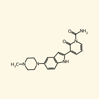 CN1CCN(c2ccc3[nH]c(-c4c[c]cn(C(N)=O)c4=O)cc3c2)CC1